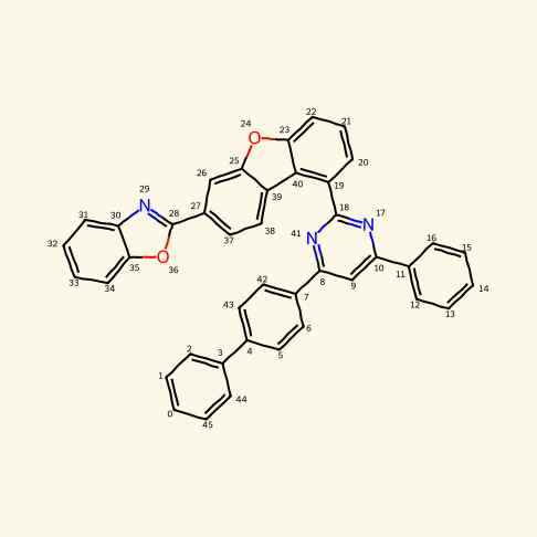 c1ccc(-c2ccc(-c3cc(-c4ccccc4)nc(-c4cccc5oc6cc(-c7nc8ccccc8o7)ccc6c45)n3)cc2)cc1